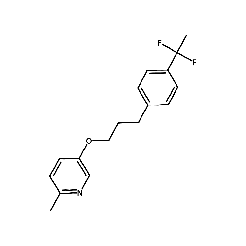 Cc1ccc(OCCCc2ccc(C(C)(F)F)cc2)cn1